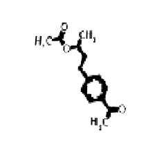 CC(=O)OC(C)CCc1ccc(C(C)=O)cc1